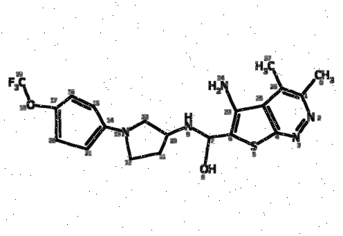 Cc1nnc2sc(C(O)NC3CCN(c4ccc(OC(F)(F)F)cc4)C3)c(N)c2c1C